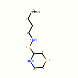 CCCCCCCCCCNSC1CSCCN1